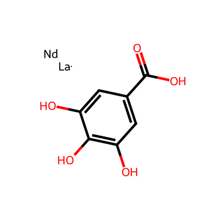 O=C(O)c1cc(O)c(O)c(O)c1.[La].[Nd]